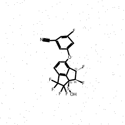 N#Cc1cc(F)cc(Oc2ccc3c4c2[C@H](F)[C@@H](F)[C@]4(SO)C(F)(F)C3(F)F)c1